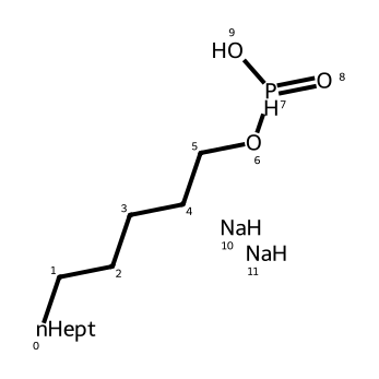 CCCCCCCCCCCCO[PH](=O)O.[NaH].[NaH]